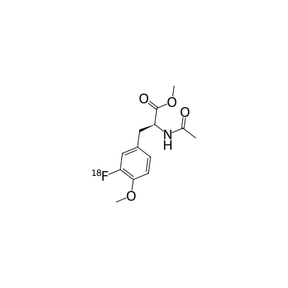 COC(=O)[C@H](Cc1ccc(OC)c([18F])c1)NC(C)=O